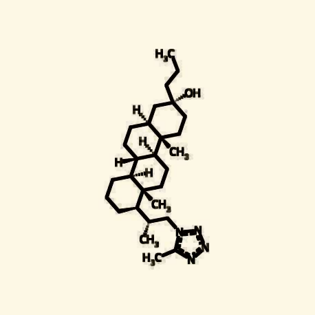 CCC[C@@]1(O)CC[C@@]2(C)[C@@H](CC[C@@H]3[C@@H]2CC[C@]2(C)[C@@H]([C@@H](C)Cn4nnnc4C)CCC[C@@H]32)C1